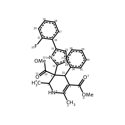 COC(=O)C1=C(C)NC(C)C(C(=O)OC)(c2nc(-c3ccccc3F)cs2)C1c1ccccc1